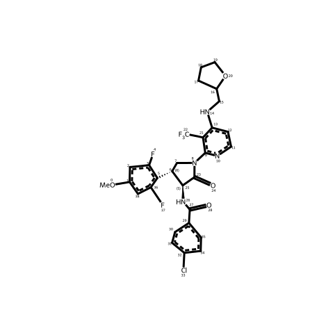 COc1cc(F)c([C@@H]2CN(c3nccc(NCC4CCCO4)c3C(F)(F)F)C(=O)[C@H]2NC(=O)c2ccc(Cl)cc2)c(F)c1